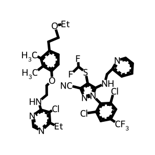 CCOCCc1ccc(OCCNc2ncnc(CC)c2Cl)c(C)c1C.N#Cc1nn(-c2c(Cl)cc(C(F)(F)F)cc2Cl)c(NCc2ccccn2)c1SC(F)F